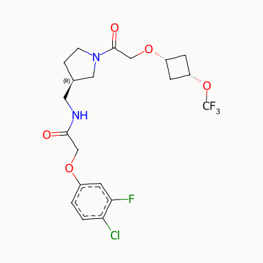 O=C(COc1ccc(Cl)c(F)c1)NC[C@H]1CCN(C(=O)CO[C@H]2C[C@@H](OC(F)(F)F)C2)C1